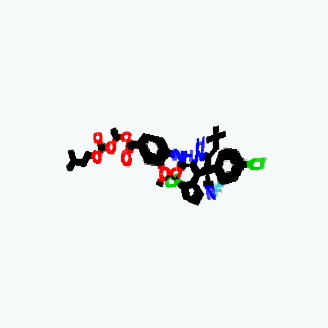 COc1cc(C(=O)OC(C)OC(=O)OCCC(C)C)ccc1NC(=O)[C@@H]1N[C@@H](CC(C)(C)C)[C@](C#N)(c2ccc(Cl)cc2F)C1C1C=CC=C1Cl